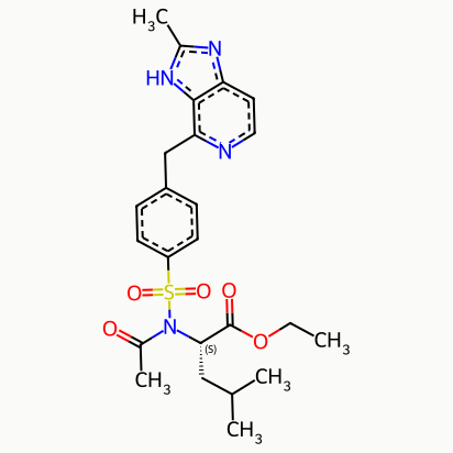 CCOC(=O)[C@H](CC(C)C)N(C(C)=O)S(=O)(=O)c1ccc(Cc2nccc3nc(C)[nH]c23)cc1